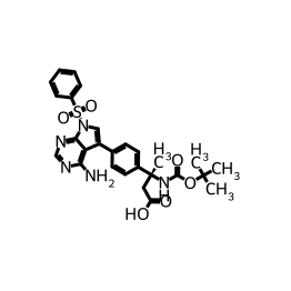 CC(C)(C)OC(=O)N[C@](C)(CC(=O)O)c1ccc(-c2cn(S(=O)(=O)c3ccccc3)c3ncnc(N)c23)cc1